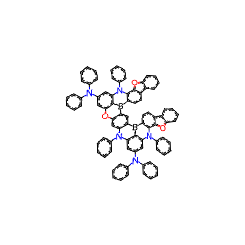 c1ccc(N(c2ccccc2)c2cc3c4c(c2)N(c2ccccc2)c2c(ccc5c2oc2ccccc25)B4c2cc4c(cc2O3)N(c2ccccc2)c2cc(N(c3ccccc3)c3ccccc3)cc3c2B4c2ccc4c(oc5ccccc54)c2N3c2ccccc2)cc1